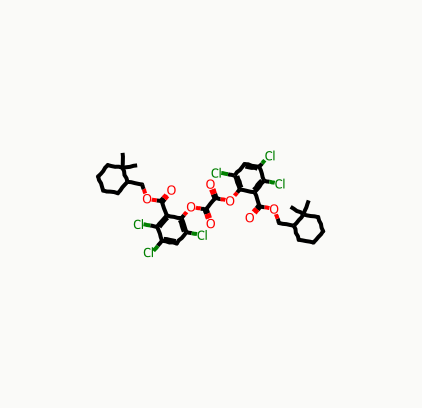 CC1(C)CCCCC1COC(=O)c1c(Cl)c(Cl)cc(Cl)c1OC(=O)C(=O)Oc1c(Cl)cc(Cl)c(Cl)c1C(=O)OCC1CCCCC1(C)C